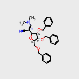 CN(C)/C=C(\C#N)C1O[C@H](COCc2ccccc2)[C@@H](OCc2ccccc2)[C@H]1OCc1ccccc1